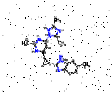 Cc1ccc2nc([C@@H]3C[C@H]3c3cc(-n4nc(C)nc4C)nc(C)n3)[nH]c2c1